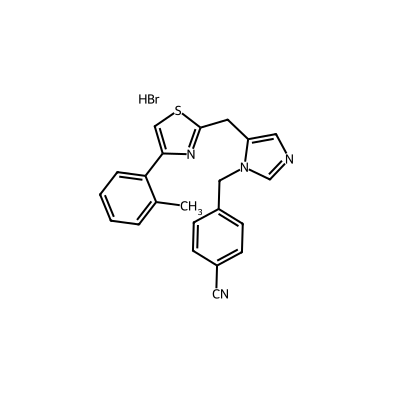 Br.Cc1ccccc1-c1csc(Cc2cncn2Cc2ccc(C#N)cc2)n1